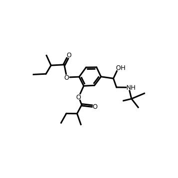 CCC(C)C(=O)Oc1ccc(C(O)CNC(C)(C)C)cc1OC(=O)C(C)CC